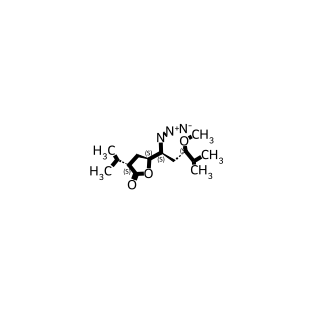 CO[C@@H](C[C@H](N=[N+]=[N-])[C@@H]1C[C@@H](C(C)C)C(=O)O1)C(C)C